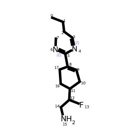 CCC/C=N\C(=N/C)C1=CCC(C(F)CN)CC1